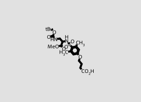 COC(=O)C(CNC(=O)OC(C)(C)C)NS(=O)(=O)c1c(C)cc(OCCCC(=O)O)cc1C